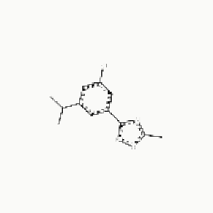 Cc1nc(-c2cc(Cl)cc(C(C)C)c2)no1